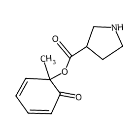 CC1(OC(=O)C2CCNC2)C=CC=CC1=O